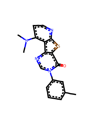 Cc1cccc(-n2cnc3c(sc4nccc(N(C)C)c43)c2=O)c1